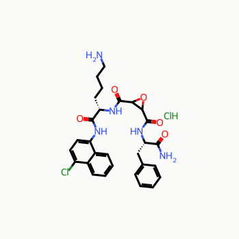 Cl.NCCCC[C@H](NC(=O)C1OC1C(=O)N[C@@H](Cc1ccccc1)C(N)=O)C(=O)Nc1ccc(Cl)c2ccccc12